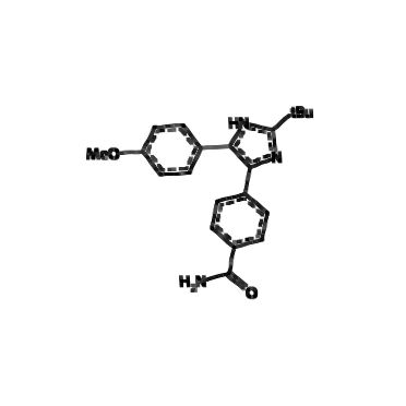 COc1ccc(-c2[nH]c(C(C)(C)C)nc2-c2ccc(C(N)=O)cc2)cc1